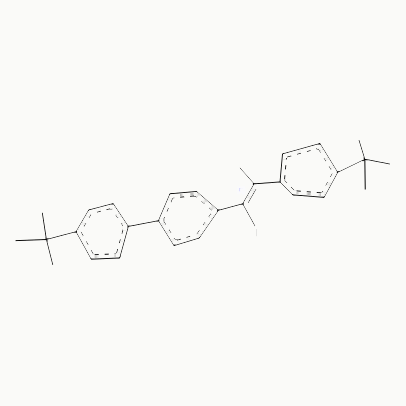 CC(C)(C)c1ccc(/C(F)=C(\F)c2ccc(-c3ccc(C(C)(C)C)cc3)cc2)cc1